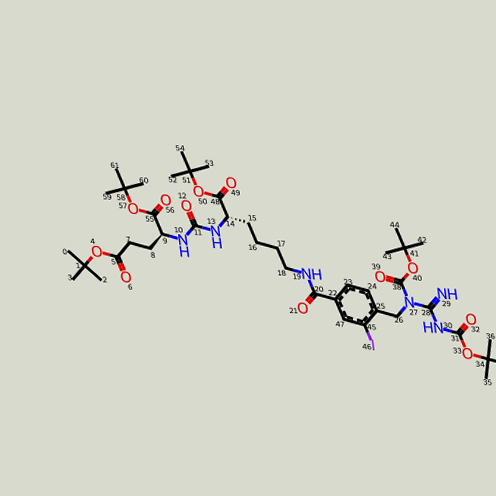 CC(C)(C)OC(=O)CC[C@H](NC(=O)N[C@@H](CCCCNC(=O)c1ccc(CN(C(=N)NC(=O)OC(C)(C)C)C(=O)OC(C)(C)C)c(I)c1)C(=O)OC(C)(C)C)C(=O)OC(C)(C)C